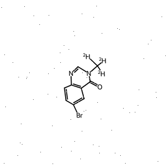 [2H]C([2H])([2H])n1cnc2ccc(Br)cc2c1=O